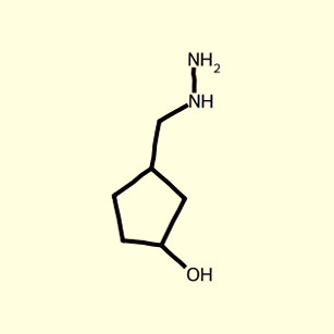 NNCC1CCC(O)C1